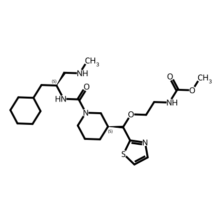 CNC[C@H](CC1CCCCC1)NC(=O)N1CCC[C@H](C(OCCNC(=O)OC)c2nccs2)C1